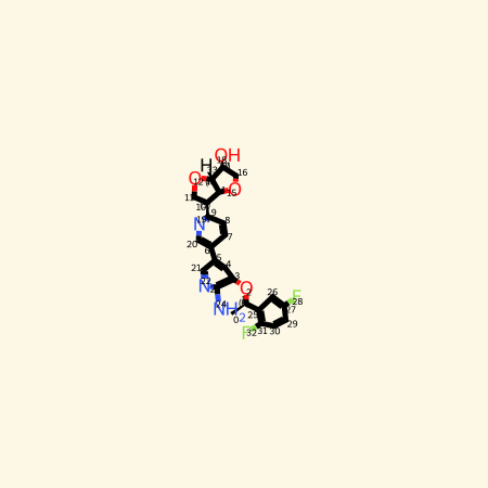 C[C@@H](Oc1cc(-c2ccc([C@H]3CO[C@H]4C3OC[C@H]4O)nc2)cnc1N)c1cc(F)ccc1F